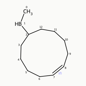 CBC1CCCC/C=C\CCCC1